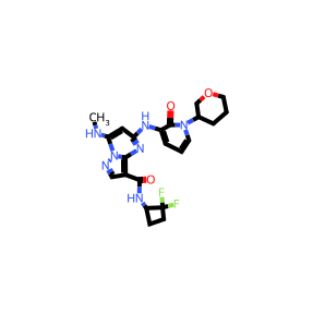 CNc1cc(Nc2cccn(C3CCCOC3)c2=O)nc2c(C(=O)NC3CCC3(F)F)cnn12